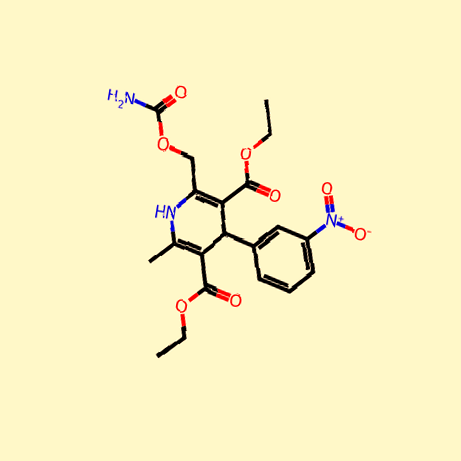 CCOC(=O)C1=C(C)NC(COC(N)=O)=C(C(=O)OCC)C1c1cccc([N+](=O)[O-])c1